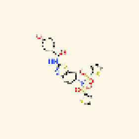 O=C1CCC(C(=O)Nc2nc3ccc(N(S(=O)(=O)c4cccs4)S(=O)(=O)c4cccs4)cc3s2)CC1